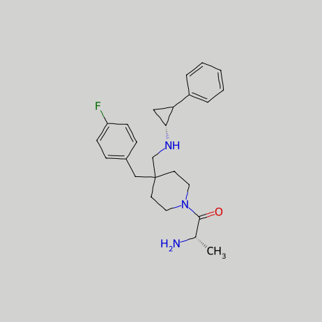 C[C@H](N)C(=O)N1CCC(CN[C@@H]2CC2c2ccccc2)(Cc2ccc(F)cc2)CC1